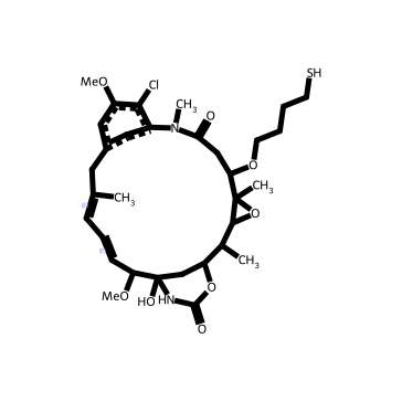 COc1cc2cc(c1Cl)N(C)C(=O)CC(OCCCCS)C1(C)OC1C(C)C1CC(O)(NC(=O)O1)C(OC)/C=C/C=C(\C)C2